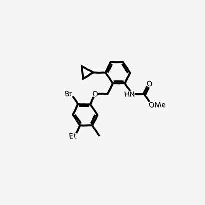 CCc1cc(Br)c(OCc2c(NC(=O)OC)cccc2C2CC2)cc1C